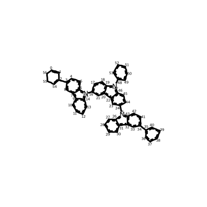 C1=CC(c2ccc3c(c2)c2ccccc2n3-c2ccc3c(c2)c2cc(-n4c5ccccc5c5cc(-c6ccccc6)ccc54)ccc2n3-c2ccccc2)=CCC1